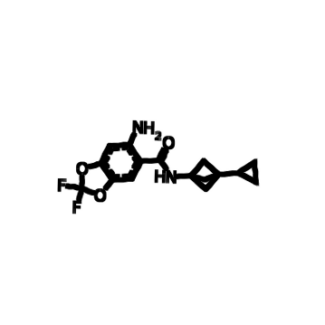 Nc1cc2c(cc1C(=O)NC13CC(C4CC4)(C1)C3)OC(F)(F)O2